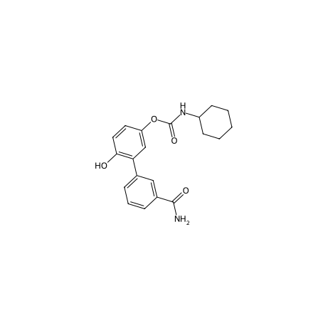 NC(=O)c1cccc(-c2cc(OC(=O)NC3CCCCC3)ccc2O)c1